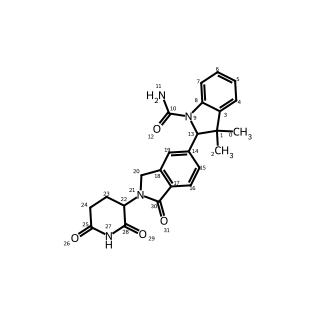 CC1(C)c2ccccc2N(C(N)=O)C1c1ccc2c(c1)CN(C1CCC(=O)NC1=O)C2=O